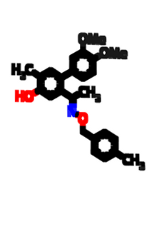 COc1ccc(-c2cc(C)c(O)cc2/C(C)=N/OCc2ccc(C)cc2)cc1OC